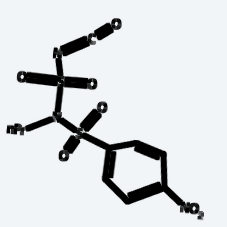 CCCN(S(=O)(=O)N=C=O)S(=O)(=O)c1ccc([N+](=O)[O-])cc1